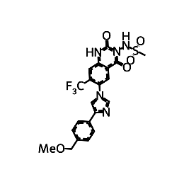 COCc1ccc(-c2cn(-c3cc4c(=O)n(NS(C)(=O)=O)c(=O)[nH]c4cc3C(F)(F)F)cn2)cc1